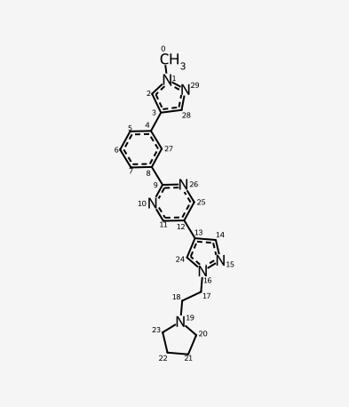 Cn1cc(-c2cccc(-c3ncc(-c4cnn(CCN5CCCC5)c4)cn3)c2)cn1